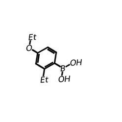 CCOc1ccc(B(O)O)c(CC)c1